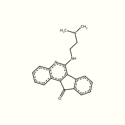 CN(C)CCNc1nc2ccccc2c2c1-c1ccccc1C2=O